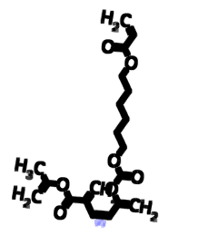 C=CC(=O)OCCCCCCOC(=O)OC(=C)/C=C\C(=C)C(=O)OC(=C)C